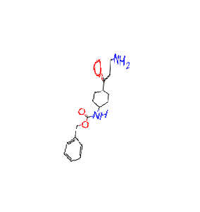 NCCC(=O)C1CCC(NC(=O)OCc2ccccc2)CC1